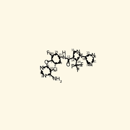 Nc1ncnc(Oc2ccc(NC(=O)c3cnn(-c4cncnc4)c3C(F)(F)F)cc2F)c1Cl